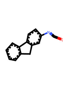 O=C=Nc1[c]c2c(cc1)-c1ccccc1C2